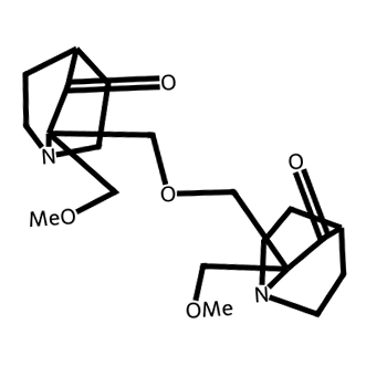 COCC1(COCC2(COC)C(=O)C3CCN2CC3)C(=O)C2CCN1CC2